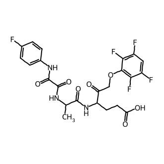 CC(NC(=O)C(=O)Nc1ccc(F)cc1)C(=O)NC(CCC(=O)O)C(=O)COc1c(F)c(F)cc(F)c1F